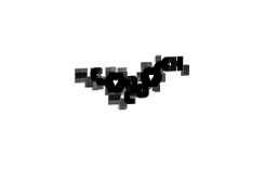 CCc1ccc(OC(C)Oc2ccc(CC)cc2)cc1